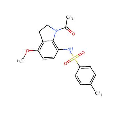 COc1ccc(NS(=O)(=O)c2ccc(C)cc2)c2c1CCN2C(C)=O